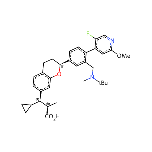 COc1cc(-c2ccc([C@@H]3CCc4ccc([C@H](C5CC5)[C@@H](C)C(=O)O)cc4O3)cc2CN(C)C(C)(C)C)c(F)cn1